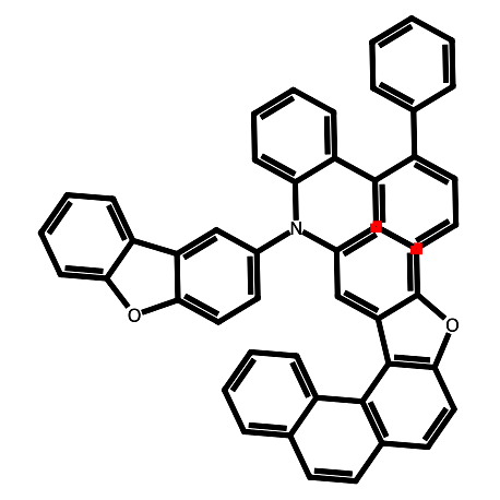 c1ccc(-c2ccccc2-c2ccccc2N(c2ccc3oc4ccccc4c3c2)c2ccc3oc4ccc5ccc6ccccc6c5c4c3c2)cc1